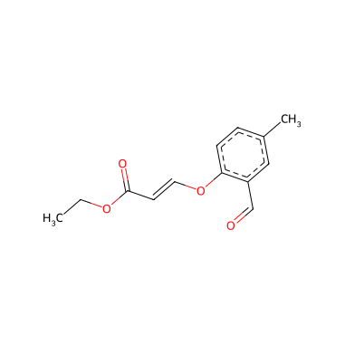 CCOC(=O)C=COc1ccc(C)cc1C=O